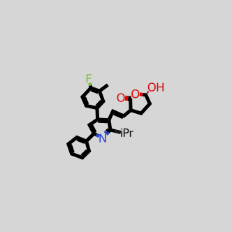 Cc1cc(-c2cc(-c3ccccc3)nc(C(C)C)c2/C=C/C2CC[C@@H](O)OC2=O)ccc1F